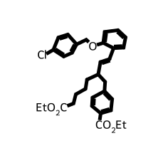 CCOC(=O)CCCCC(/C=C/c1ccccc1OCc1ccc(Cl)cc1)Cc1ccc(C(=O)OCC)cc1